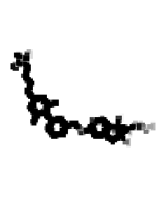 Cc1cc(CCCCS(C)(=O)=O)cc(C)c1-c1cccc(COc2cc3c(cn2)[C@H]2[C@@H](C3)[C@@H]2C(=O)O)c1